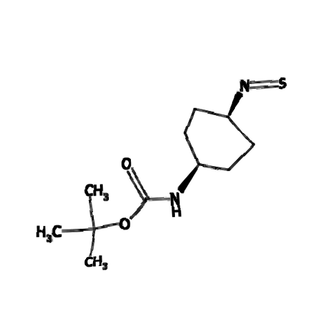 CC(C)(C)OC(=O)N[C@H]1CC[C@@H](N=S)CC1